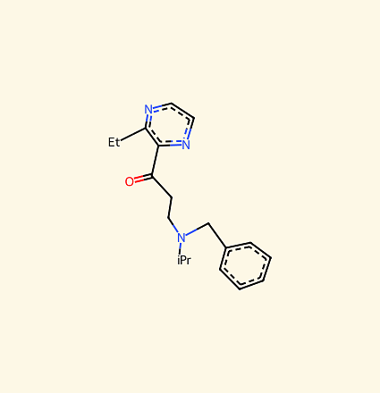 CCc1nccnc1C(=O)CCN(Cc1ccccc1)C(C)C